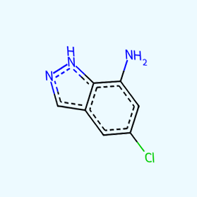 Nc1cc(Cl)cc2cn[nH]c12